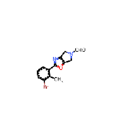 Cc1c(Br)cccc1-c1nc2c(o1)CN(C=O)C2